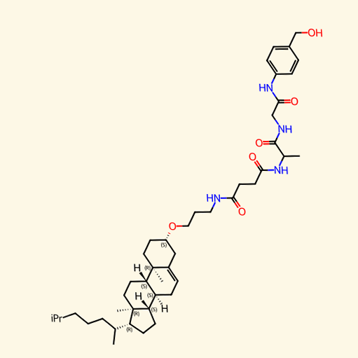 CC(C)CCCC(C)[C@H]1CC[C@H]2[C@@H]3CC=C4C[C@@H](OCCCNC(=O)CCC(=O)NC(C)C(=O)NCC(=O)Nc5ccc(CO)cc5)CC[C@]4(C)[C@H]3CC[C@]12C